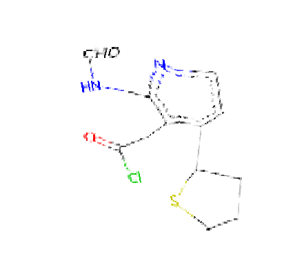 O=CNc1nccc(C2CCCS2)c1C(=O)Cl